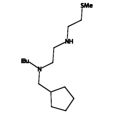 CCC(C)N(CCNCCSC)CC1CCCC1